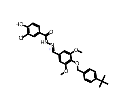 COc1cc(/C=N/NC(=O)c2ccc(O)c(Cl)c2)cc(OC)c1OCc1ccc(C(C)(C)C)cc1